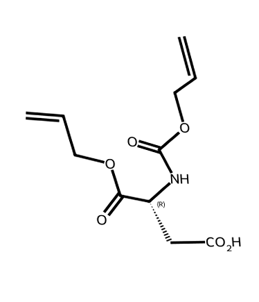 C=CCOC(=O)N[C@H](CC(=O)O)C(=O)OCC=C